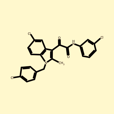 Cc1c(C(=O)C(=O)Nc2cccc(Cl)c2)c2cc(Cl)ccc2n1Cc1ccc(Cl)cc1